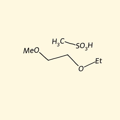 CCOCCOC.CS(=O)(=O)O